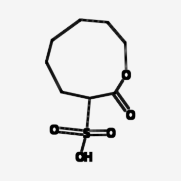 O=C1OCCCCCCC1S(=O)(=O)O